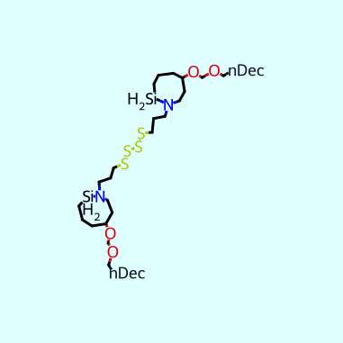 CCCCCCCCCCCOCOC1CCC[SiH2]N(CCCSSSSCCCN2CCC(OCOCCCCCCCCCCC)CCC[SiH2]2)CC1